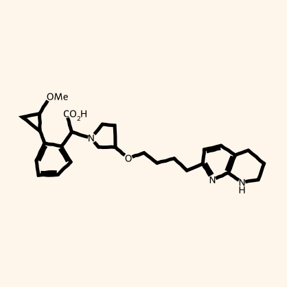 COC1CC1c1ccccc1C(C(=O)O)N1CCC(OCCCCc2ccc3c(n2)NCCC3)C1